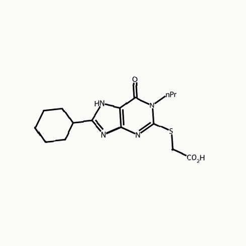 CCCn1c(SCC(=O)O)nc2nc(C3CCCCC3)[nH]c2c1=O